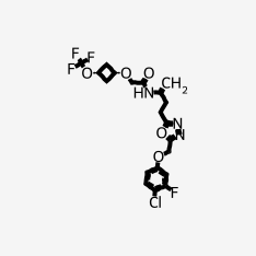 C=C(CCc1nnc(COc2ccc(Cl)c(F)c2)o1)NC(=O)CO[C@H]1C[C@@H](OC(F)(F)F)C1